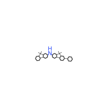 CC1(C)c2ccccc2-c2ccc(Nc3ccc4c(c3)C(C)(C)c3cc(-c5ccccc5)ccc3-4)cc21